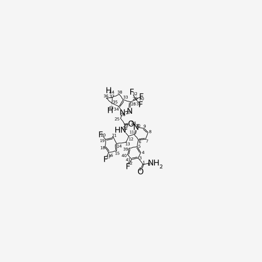 NC(=O)c1cc(-c2cccnc2C(Cc2cc(F)cc(F)c2)NC(=O)Cn2nc(C(F)(F)F)c3c2[C@H]2C[C@H]2C3)ccc1F